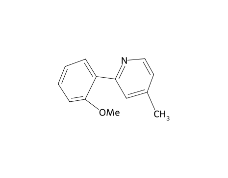 COc1ccccc1-c1cc(C)ccn1